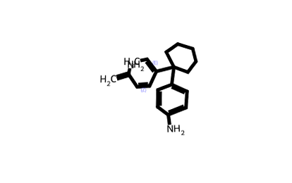 C=C(N)/C=C\C(=C/C)C1(c2ccc(N)cc2)CCCCC1